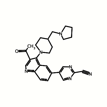 CC(=O)c1cnc2ccc(-c3cnc(C#N)nc3)cc2c1N1CCC(CN2CCCC2)CC1